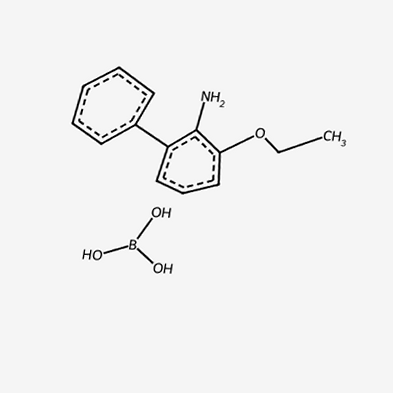 CCOc1cccc(-c2ccccc2)c1N.OB(O)O